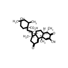 CC1CC(C)(C)CC[C@@]1(CC[C@]1(C)CC(=O)C=C2[C@@]3(C)C=C(C#N)C(=O)[C@@H](C)[C@@H]3CC[C@]21C)C(=O)O